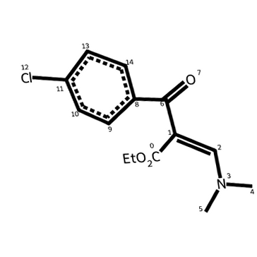 CCOC(=O)/C(=C\N(C)C)C(=O)c1ccc(Cl)cc1